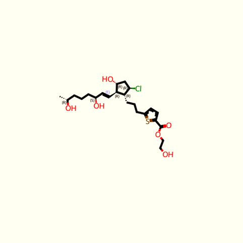 C[C@@H](O)CCC[C@H](O)/C=C/[C@@H]1[C@@H](CCCc2ccc(C(=O)OCCO)s2)[C@H](Cl)C[C@H]1O